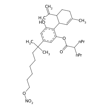 C=C(C)C1CCC(C)=CC1c1c(O)cc(C(C)(C)CCCCCCO[N+](=O)[O-])cc1OC(=O)C(CCC)CCC